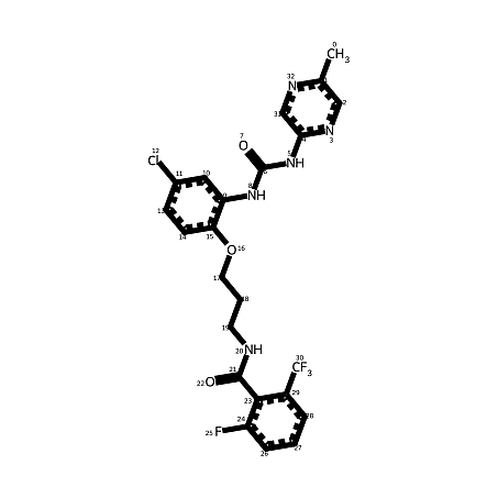 Cc1cnc(NC(=O)Nc2cc(Cl)ccc2OCCCNC(=O)c2c(F)cccc2C(F)(F)F)cn1